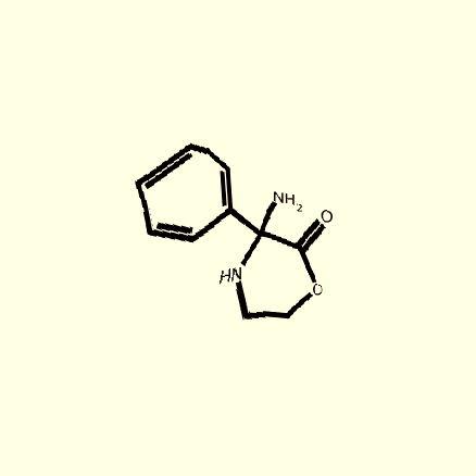 NC1(c2ccccc2)NCCOC1=O